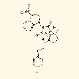 CC12CCC(CCOc3ccc(F)cc3)(O1)[C@H]1C(=O)N(c3ccc([N+](=O)[O-])c4ccccc34)C(=O)[C@H]12